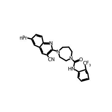 CCCc1ccc2nc(N3CCCN(C(=O)Nc4ccccc4C(F)(F)F)CC3)c(C#N)cc2c1